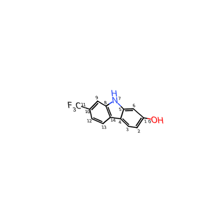 Oc1ccc2c(c1)[nH]c1cc(C(F)(F)F)ccc12